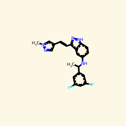 CC(Nc1ccc2[nH]nc(C=Cc3cnn(C)c3)c2c1)c1cc(F)cc(F)c1